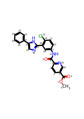 COC(=O)c1ccc(C(=O)Nc2ccc(Cl)c(-c3ncc(-c4ccccc4)[nH]3)c2)nc1